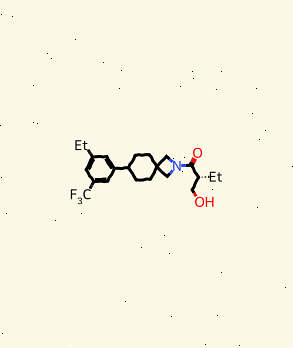 CCc1cc(C2CCC3(CC2)CN(C(=O)[C@H](CC)CO)C3)cc(C(F)(F)F)c1